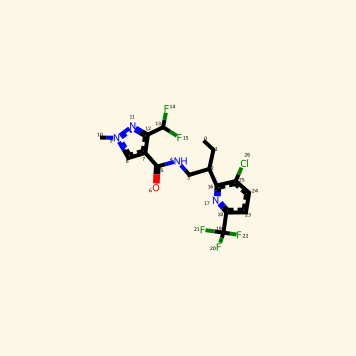 CCC(CNC(=O)c1cn(C)nc1C(F)F)c1nc(C(F)(F)F)ccc1Cl